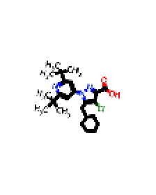 CC(C)(C)c1cc(-n2nc(C(=O)O)c(Cl)c2CC2CCCCC2)cc(C(C)(C)C)n1